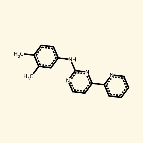 Cc1ccc(Nc2nccc(-c3ccccn3)n2)cc1C